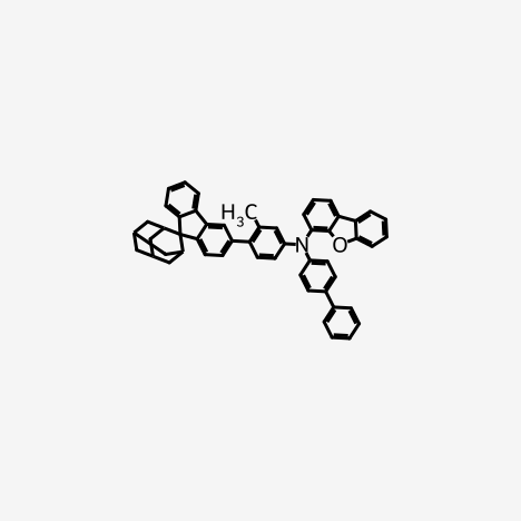 Cc1cc(N(c2ccc(-c3ccccc3)cc2)c2cccc3c2oc2ccccc23)ccc1-c1ccc2c(c1)-c1ccccc1C21C2CC3CC(C2)CC1C3